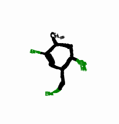 Cc1cc(Br)c(CBr)cc1Br